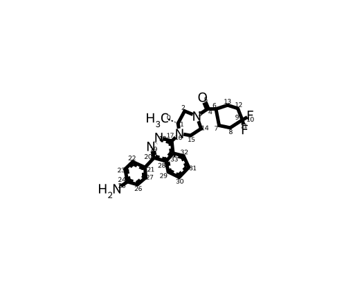 C[C@@H]1CN(C(=O)C2CCC(F)(F)CC2)CCN1c1nnc(-c2ccc(N)cc2)c2ccccc12